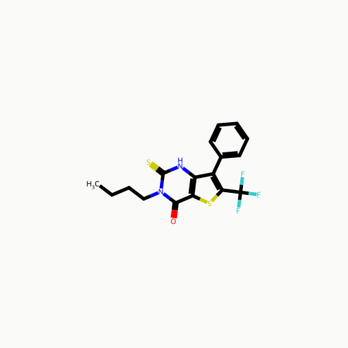 CCCCn1c(=S)[nH]c2c(-c3ccccc3)c(C(F)(F)F)sc2c1=O